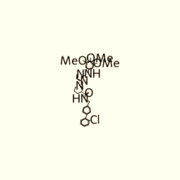 COc1cc(Nc2nccc(N3CCC[C@H](C(=O)NCc4ccc(-c5ccccc5Cl)cc4)C3)n2)cc(OC)c1OC